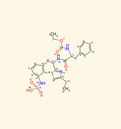 CCOC(=O)NC(Cc1ccccc1)C(=O)NC(Cc1cccc(NS(=O)(=O)O)c1)c1nc(CC)cs1